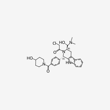 CN(C)C(O)[C@H]1Cc2c([nH]c3ccccc23)[C@H](c2ccc(C(=O)N3CCC(O)CC3)cc2)N1C(=O)CCl